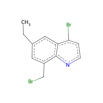 CCc1cc(CBr)c2nccc(Br)c2c1